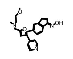 COCCN(C)Cc1cc(-c2ccncc2)c(-c2ccc3c(c2)CC/C3=N\O)o1